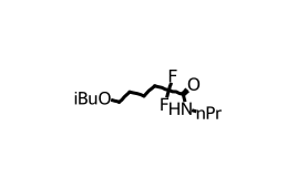 CCCNC(=O)C(F)(F)CCCCOCC(C)C